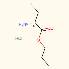 CCCOC(=O)[C@H](N)CF.Cl